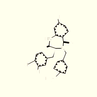 O=C(O)c1ccc(CN2C(=O)c3ccc(Cl)cc3NC(=O)[C@@H]2Cc2ccc(Cl)c(Cl)c2)cc1